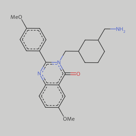 COc1ccc(-c2nc3ccc(OC)cc3c(=O)n2CC2CCCC(CN)C2)cc1